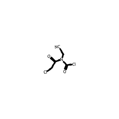 N#CCN(C(=O)Cl)C(=O)CCl